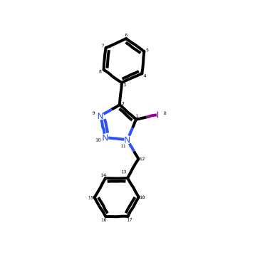 Ic1c(-c2ccccc2)nnn1Cc1ccccc1